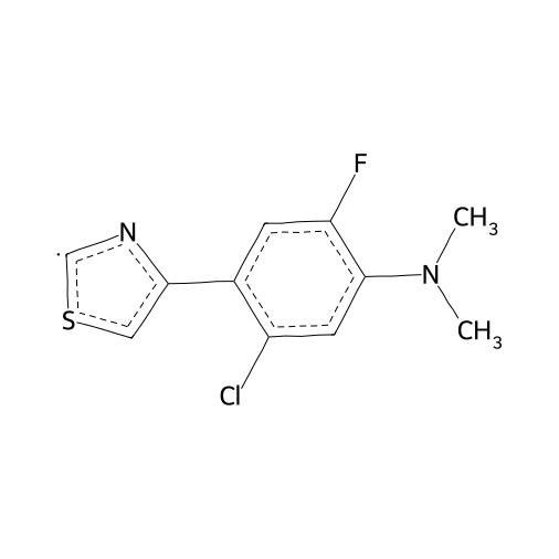 CN(C)c1cc(Cl)c(-c2cs[c]n2)cc1F